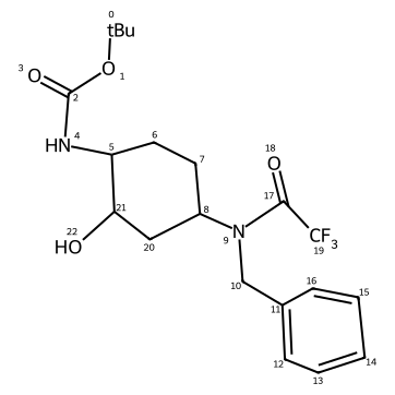 CC(C)(C)OC(=O)NC1CCC(N(Cc2ccccc2)C(=O)C(F)(F)F)CC1O